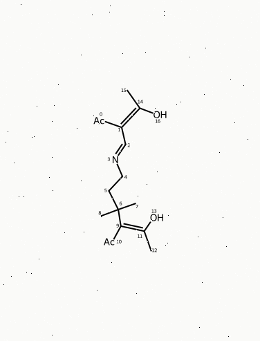 CC(=O)C(/C=N/CCC(C)(C)/C(C(C)=O)=C(/C)O)=C(\C)O